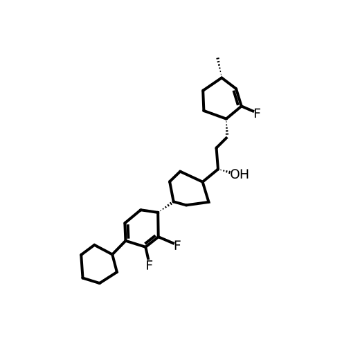 C[C@@H]1C=C(F)[C@H](CC[C@H](O)C2CCC([C@H]3CC=C(C4CCCCC4)C(F)=C3F)CC2)CC1